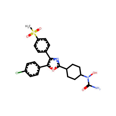 CS(=O)(=O)c1ccc(-c2nc(C3CCC(N(O)C(N)=O)CC3)oc2-c2ccc(Cl)cc2)cc1